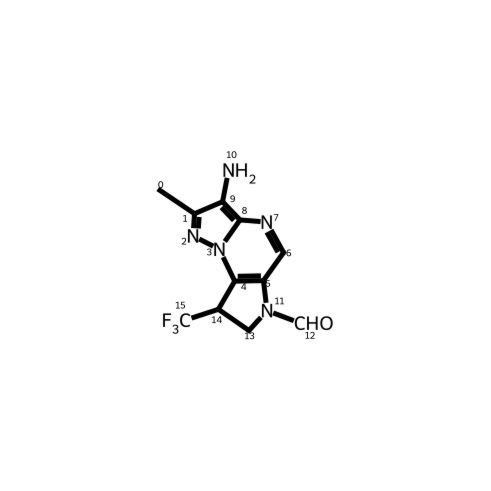 Cc1nn2c3c(cnc2c1N)N(C=O)CC3C(F)(F)F